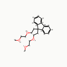 COCCOCCC1(CCOCCOC)c2ccccc2-c2ccccc21